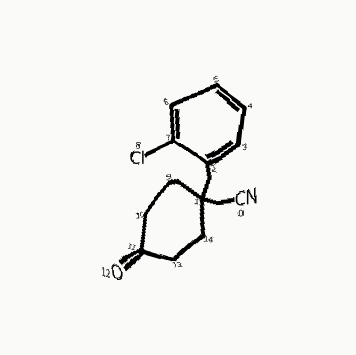 N#CC1(c2ccccc2Cl)CCC(=O)CC1